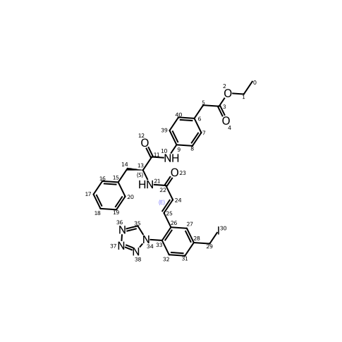 CCOC(=O)Cc1ccc(NC(=O)[C@H](Cc2ccccc2)NC(=O)/C=C/c2cc(CI)ccc2-n2cnnn2)cc1